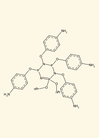 CCCOP1(OCCC)=NP(Oc2ccc(N)cc2)N(Oc2ccc(N)cc2)P(Oc2ccc(N)cc2)N1Oc1ccc(N)cc1